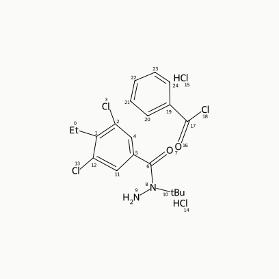 CCc1c(Cl)cc(C(=O)N(N)C(C)(C)C)cc1Cl.Cl.Cl.O=C(Cl)c1ccccc1